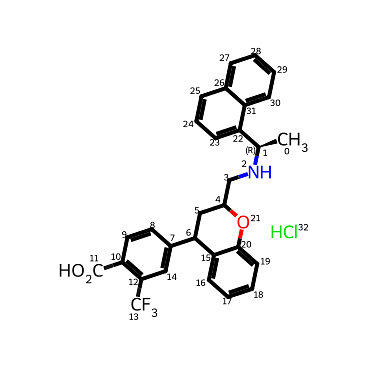 C[C@@H](NCC1CC(c2ccc(C(=O)O)c(C(F)(F)F)c2)c2ccccc2O1)c1cccc2ccccc12.Cl